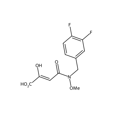 CON(Cc1ccc(F)c(F)c1)C(=O)C=C(O)C(=O)O